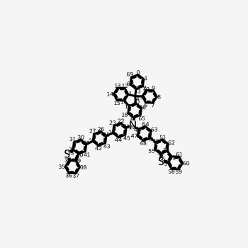 c1ccc(C2(c3ccccc3)c3ccccc3-c3cc(N(c4ccc(-c5ccc(-c6ccc7sc8ccccc8c7c6)cc5)cc4)c4ccc(-c5ccc6c(c5)sc5ccccc56)cc4)ccc32)cc1